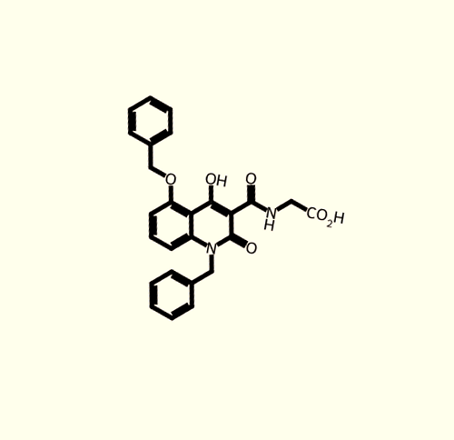 O=C(O)CNC(=O)c1c(O)c2c(OCc3ccccc3)cccc2n(Cc2ccccc2)c1=O